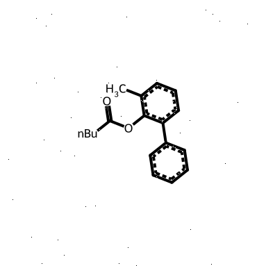 CCCCC(=O)Oc1c(C)cccc1-c1ccccc1